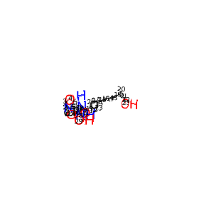 CN1CCOC[C@@H]1[C@H](NC(=O)c1ccc(C#CC#CC2CC2CO)cc1)C(=O)NO